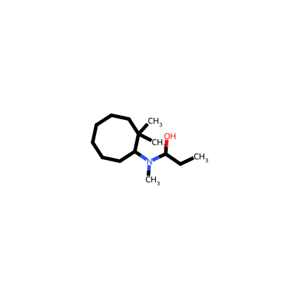 CCC(O)N(C)C1CCCCCCC1(C)C